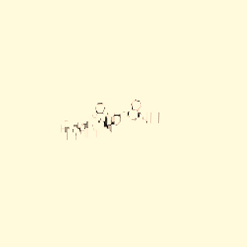 CC(C)[Si](OCCSc1ccccc1-c1nnc2ccc(OC3CC[C@H](N)c4ccccc43)cn12)(C(C)C)C(C)C